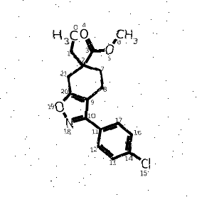 CCC1(C(=O)OC)CCc2c(-c3ccc(Cl)cc3)noc2C1